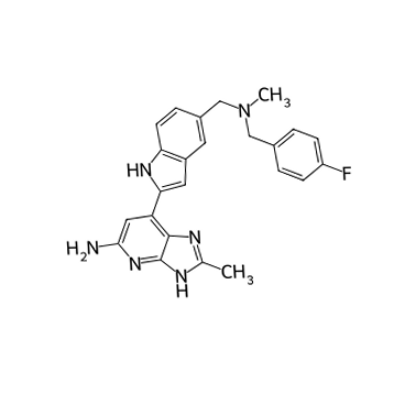 Cc1nc2c(-c3cc4cc(CN(C)Cc5ccc(F)cc5)ccc4[nH]3)cc(N)nc2[nH]1